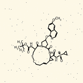 COc1ccc2c(OC3CC4C(=O)NC5(C(=O)NS(=O)(=O)C6CC6)CC5/C=C/CCCSCC(NC(=O)OC(C)(C)C)C(=O)N4C3)nccc2c1